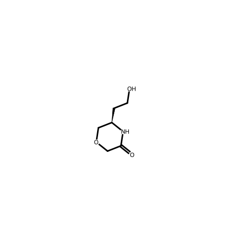 O=C1COC[C@@H](CCO)N1